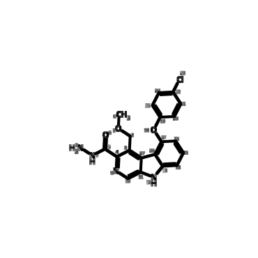 COCc1c(C(=O)NN)ncc2[nH]c3cccc(Oc4ccc(Cl)cc4)c3c12